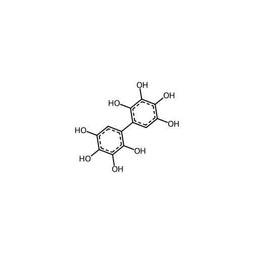 Oc1cc(-c2cc(O)c(O)c(O)c2O)c(O)c(O)c1O